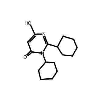 O=c1cc(O)nc(C2CCCCC2)n1C1CCCCC1